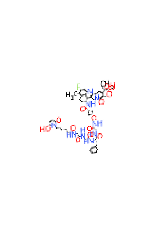 CC[C@@]1(O)C(=O)OCc2c1cc1n(c2=O)Cc2c-1nc1cc(F)c(C)c3c1c2[C@@H](NC(=O)[C@H]1C[C@@H](OCNC(=O)CNC(=O)[C@H](Cc2ccccc2)NC(=O)CNC(=O)CNC(=O)CCCCCN2C(=O)C=CC2O)C1)CC3